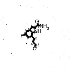 NC(=O)c1cc2cc(F)cc(/C=C/[C]=O)c2[nH]1